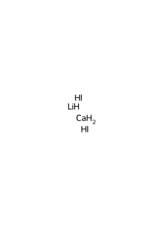 I.I.[CaH2].[LiH]